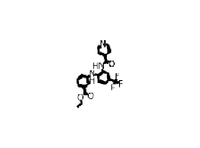 CCOC(=O)c1cccc(Nc2ccc(C(F)(F)F)cc2NC(=O)c2ccncc2)c1